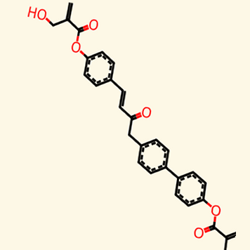 C=C(C)C(=O)Oc1ccc(-c2ccc(CC(=O)/C=C/c3ccc(OC(=O)C(=C)CO)cc3)cc2)cc1